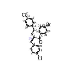 O=C(/C(=C\c1ccc(Cl)cc1)SCc1ccc(Cl)cc1)c1ccc(Br)cc1